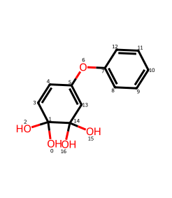 OC1(O)C=CC(Oc2ccccc2)=CC1(O)O